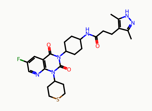 Cc1n[nH]c(C)c1CCC(=O)NC1CCC(n2c(=O)c3cc(F)cnc3n(C3CCSCC3)c2=O)CC1